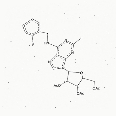 CC(=O)OCC1OC(n2cnc3c(NCc4ccccc4F)nc(I)nc32)C(OC(C)=O)C1OC(C)=O